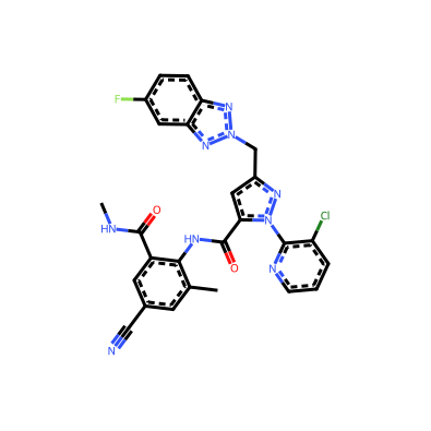 CNC(=O)c1cc(C#N)cc(C)c1NC(=O)c1cc(Cn2nc3ccc(F)cc3n2)nn1-c1ncccc1Cl